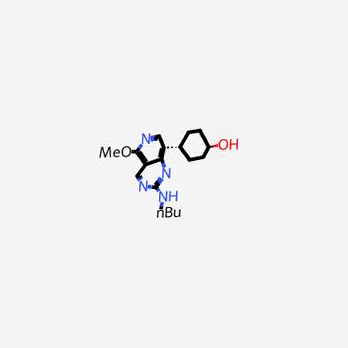 CCCCNc1ncc2c(OC)ncc([C@H]3CC[C@H](O)CC3)c2n1